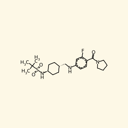 CC(C)(C)S(=O)(=O)N[C@H]1CC[C@H](CNc2ccc(C(=O)N3CCCC3)c(F)c2)CC1